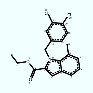 CCOC(=O)c1cc2cccc(C)c2n1Cc1ccc(Cl)c(Cl)c1